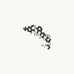 CCC(N)Oc1ccc(Nc2cc(-c3cccc(-n4ncc5cc(C(C)(C)C)cc(F)c5c4=O)c3CO)cn(C)c2=O)nc1